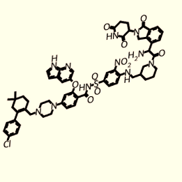 CC1(C)CCC(CN2CCN(c3ccc(C(=O)NS(=O)(=O)c4ccc(NCC5CCCN(C(=O)C(N)c6cccc7c6CN(C6CCC(=O)NC6=O)C7=O)C5)c([N+](=O)[O-])c4)c(Oc4cnc5[nH]ccc5c4)c3)CC2)=C(c2ccc(Cl)cc2)C1